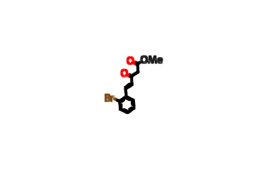 COC(=O)CC(=O)C=Cc1ccccc1Br